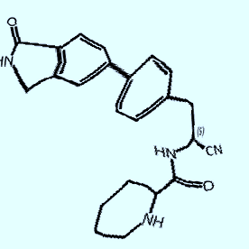 N#C[C@H](Cc1ccc(-c2ccc3c(c2)CNC3=O)cc1)NC(=O)C1CCCCN1